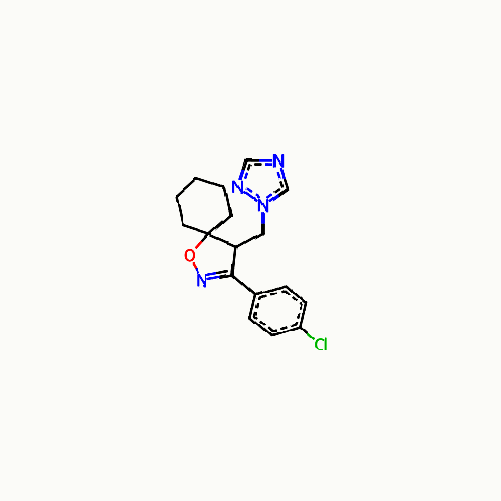 Clc1ccc(C2=NOC3(CCCCC3)C2Cn2cncn2)cc1